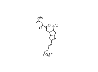 CCCCC(C)CC(=O)C(Cl)=CC1C(OC(C)=O)CC2C=C(C=CCCC(=O)OCC)CC21